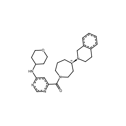 O=C(c1cc(NC2CCOCC2)ncn1)N1CCC[C@@H](N2CCc3ccccc3C2)CC1